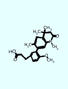 COc1ccc(CCC(=O)O)cc1-c1cc2c(cc1C)C(C)(C)CC(=O)N2C